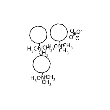 C[N+](C)(C)C1CCCCCCCCCCC1.C[N+](C)(C)C1CCCCCCCCCCC1.C[N+](C)(C)C1CCCCCCCCCCC1.O=P([O-])([O-])[O-]